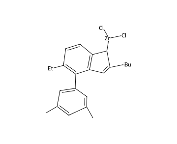 CCc1ccc2c(c1-c1cc(C)cc(C)c1)C=C(C(C)CC)[CH]2[Zr]([Cl])[Cl]